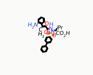 Cc1c(C(=O)NN(C(C(=O)O)C(C)C)S(=O)(=O)c2ccc(-c3ccccc3)cc2)oc2cccc(N)c12